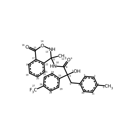 Cc1ccc(CC(O)(C(=O)NC2(C)NOC(=O)c3ccccc32)c2ccc(C(F)(F)F)cc2)cc1